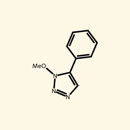 COn1nn[c]c1-c1ccccc1